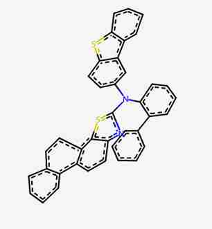 c1ccc(-c2ccccc2N(c2ccc3sc4ccccc4c3c2)c2nc3ccc4c5ccccc5ccc4c3s2)cc1